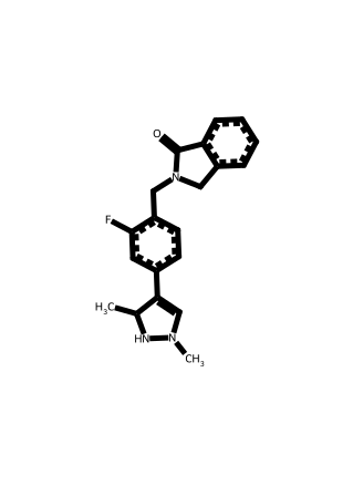 CC1NN(C)C=C1c1ccc(CN2Cc3ccccc3C2=O)c(F)c1